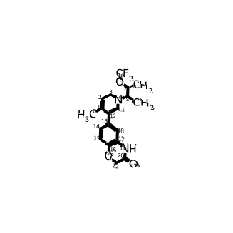 CC1=CCN(C(C)[C@H](C)OC(F)(F)F)C=C1c1ccc2c(c1)NC(=O)CO2